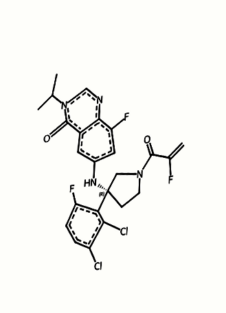 C=C(F)C(=O)N1CC[C@@](Nc2cc(F)c3ncn(C(C)C)c(=O)c3c2)(c2c(F)ccc(Cl)c2Cl)C1